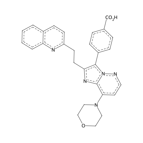 O=C(O)c1ccc(-c2c(CCc3ccc4ccccc4n3)nc3c(N4CCOCC4)ccnn23)cc1